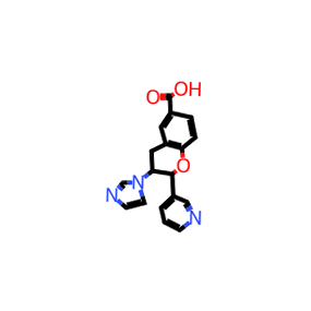 O=C(O)c1ccc2c(c1)CC(n1ccnc1)C(c1cccnc1)O2